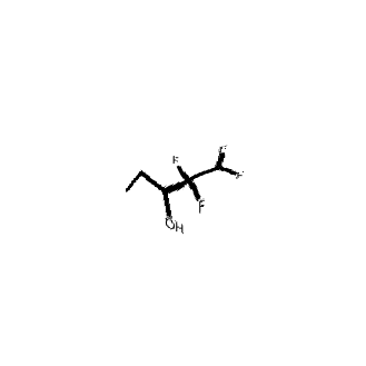 CCC(O)C(F)(F)[C](F)F